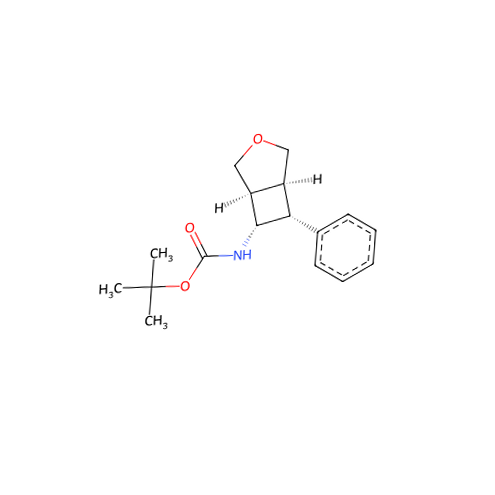 CC(C)(C)OC(=O)N[C@@H]1[C@H]2COC[C@H]2[C@@H]1c1ccccc1